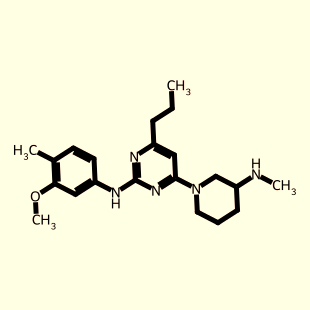 CCCc1cc(N2CCCC(NC)C2)nc(Nc2ccc(C)c(OC)c2)n1